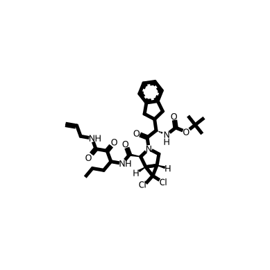 C=CCNC(=O)C(=O)C(CCC)NC(=O)[C@@H]1[C@@H]2[C@H](CN1C(=O)[C@@H](NC(=O)OC(C)(C)C)C1Cc3ccccc3C1)C2(Cl)Cl